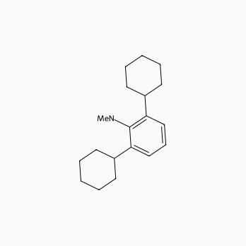 CNc1c(C2CCCCC2)cccc1C1CCCCC1